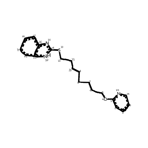 c1ccc(OCCCCCCCCSc2nc3ccccc3[nH]2)nc1